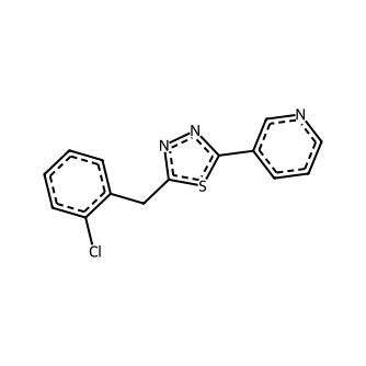 Clc1ccccc1Cc1nnc(-c2cccnc2)s1